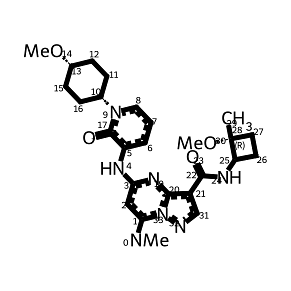 CNc1cc(Nc2cccn([C@H]3CC[C@@H](OC)CC3)c2=O)nc2c(C(=O)NC3CC[C@@]3(C)OC)cnn12